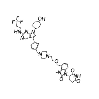 Cn1c(=O)n([C@H]2CCC(=O)NC2=O)c2cccc(COCCN3CCN(Cc4ccc(-c5cn([C@H]6CC[C@H](O)CC6)c6nc(NCCC(F)(F)F)ncc56)cc4)CC3)c21